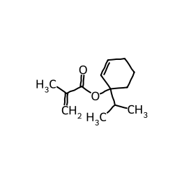 C=C(C)C(=O)OC1(C(C)C)C=CCCC1